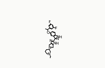 CCN1CCCC(N2Cc3nc(-c4n[nH]c5ccc(OC(C)c6cc(F)cc(F)c6)cc45)[nH]c3C2)C1